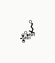 CC(C)(CCC=O)NC(=O)NS(C)(=O)=O